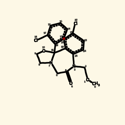 COCN1C(=O)CN2CCOC2(c2ccccc2Cl)c2cc(Cl)ccc21